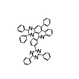 c1ccc(-c2nc(-c3ccccc3)nc(-c3cccc(-c4nc5ccccc5c5c(-c6ccccc6)cc6nc(-c7ccccc7)c(-c7ccccc7)nc6c45)c3)n2)cc1